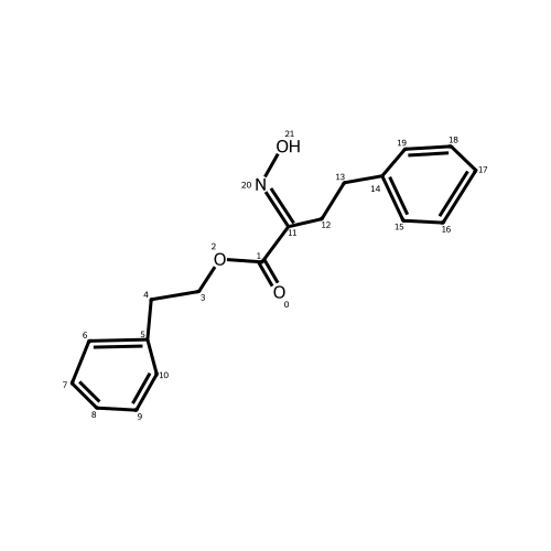 O=C(OCCc1ccccc1)C(CCc1ccccc1)=NO